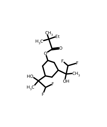 CCC(C)(C)C(=O)OC1CC(C(C)(O)C(F)F)CC(C(C)(O)C(F)F)C1